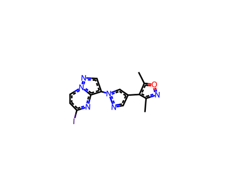 Cc1noc(C)c1-c1cnn(-c2cnn3ccc(I)nc23)c1